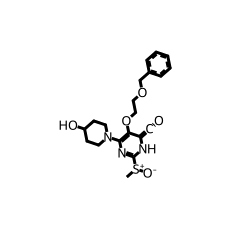 C[S+]([O-])C1=NC(N2CCC(O)CC2)=C(OCCOCc2ccccc2)C(=C=O)N1